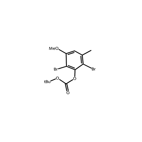 COc1cc(C)c(Br)c(OC(=O)OC(C)(C)C)c1Br